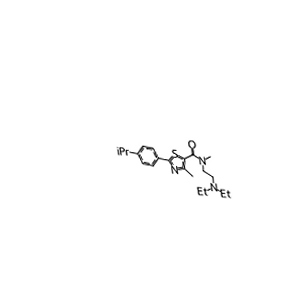 CCN(CC)CCN(C)C(=O)c1sc(-c2ccc(C(C)C)cc2)nc1C